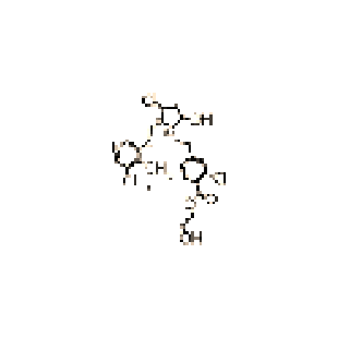 Cc1cncc(SC[C@H]2C(Cl)CC(O)[C@@H]2CCc2ccc(C(=O)OCCO)c(Cl)c2)c1C